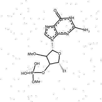 CC[C@H]1O[C@@H](n2cnc3c(=O)[nH]c(N)nc32)C(OC)C1O[PH](O)(O)OC